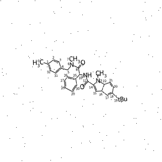 Cc1ccc(CN(C)C(=O)C(NC(=O)C2=CC3C=C(C(C)(C)C)C=CC3N2C)c2ccccc2)cc1